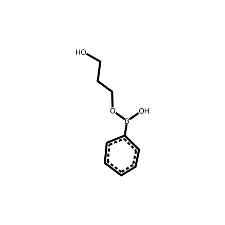 OCCCOB(O)c1ccccc1